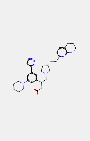 O=C(O)CC(CN1CC[C@@H](CCc2ccc3c(n2)NCCC3)C1)c1cc(-c2ccn[nH]2)cc(N2CCCCC2)c1